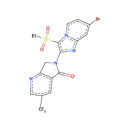 CCS(=O)(=O)c1c(N2Cc3ncc(C(F)(F)F)cc3C2=O)nc2cc(Br)ccn12